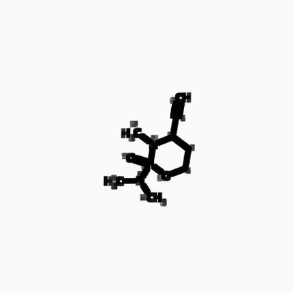 C#CC1CCOP(=O)(N(C)C)N1C